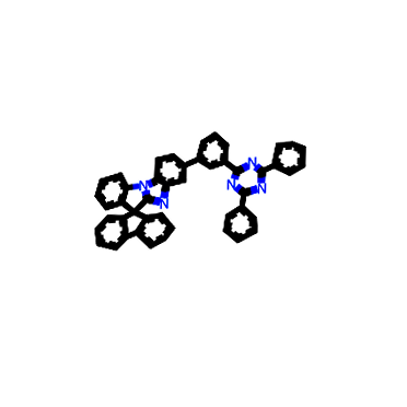 c1ccc(-c2nc(-c3ccccc3)nc(-c3cccc(-c4ccc5c(c4)nc4n5-c5ccccc5C45c4ccccc4-c4ccccc45)c3)n2)cc1